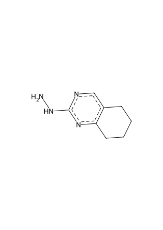 NNc1ncc2c(n1)CCCC2